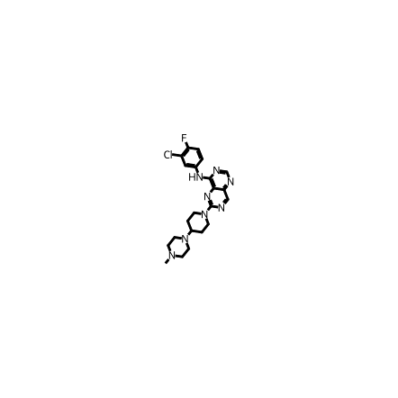 CN1CCN(C2CCN(c3ncc4ncnc(Nc5ccc(F)c(Cl)c5)c4n3)CC2)CC1